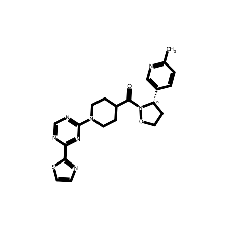 Cc1ccc([C@@H]2CCON2C(=O)C2CCN(c3ncnc(-c4nccs4)n3)CC2)cn1